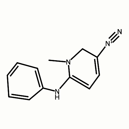 CN1CC([N+]#N)=CC=C1Nc1ccccc1